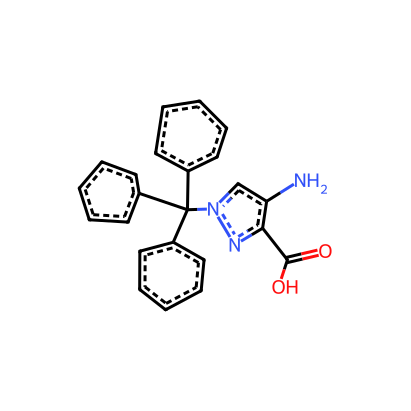 Nc1cn(C(c2ccccc2)(c2ccccc2)c2ccccc2)nc1C(=O)O